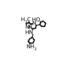 Cc1cnn2c(NCc3ccc(N)cc3)cc(-c3ccccc3O)nc12